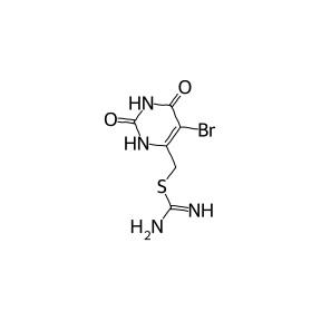 N=C(N)SCc1[nH]c(=O)[nH]c(=O)c1Br